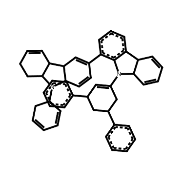 C1=CCC(N2C3C=CC(c4cccc5c4N(C4=CC(c6ccccc6)CC(c6ccccc6)C4)C4C=CC=CC54)=CC3C3C=CCCC32)C=C1